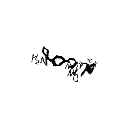 Cn1c(=O)n(CC2(C)CC2(F)F)c2ccc(-c3ccc(C4(N)CCC4)cc3)nc21